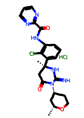 C[C@@H]1C[C@H](N2C(=N)N[C@](C)(c3cccc(NC(=O)c4ncccn4)c3Cl)CC2=O)CCO1.Cl